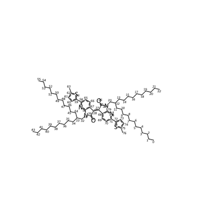 CCCCCCCCCCCCC(CCCCCCCCCC)CN1C(=O)/C(=C2/C(=O)N(CC(CCCCCCCCCC)CCCCCCCCCCCC)c3nc(-c4ccc(C)s4)ccc32)c2ccc(-c3ccc(C)s3)nc21